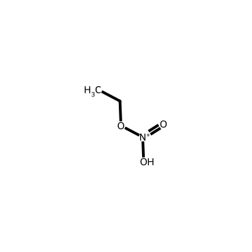 CCO[N+](=O)O